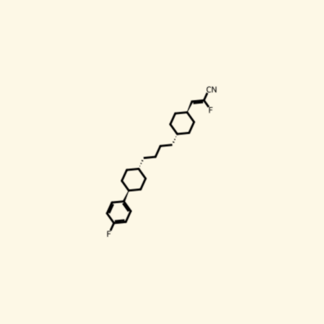 N#CC(F)=C[C@H]1CC[C@H](CCCC[C@H]2CC[C@H](c3ccc(F)cc3)CC2)CC1